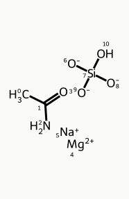 CC(N)=O.[Mg+2].[Na+].[O-][Si]([O-])([O-])O